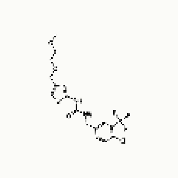 COCCOCc1csc(NC(=O)NCc2ccc(Cl)c(C(F)(F)F)c2)n1